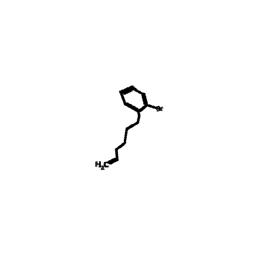 C=CCCCCc1ccccc1Br